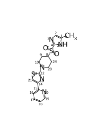 Cc1cnc(S(=O)(=O)C2CCN(c3nc(-c4ccccn4)cs3)CC2)[nH]1